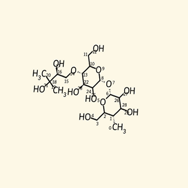 C[C@@H]1C(CO)O[C@H](O[C@H]2OC(CO)[C@@H](OC[C@H](O)C(C)(C)O)[C@H](O)C2O)C(O)C1O